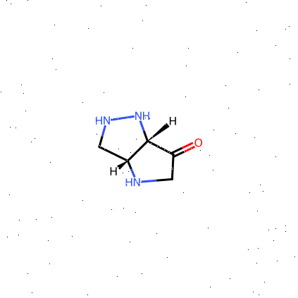 O=C1CN[C@@H]2CNN[C@H]12